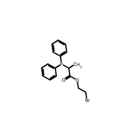 CC(C(=O)OCCBr)P(c1ccccc1)c1ccccc1